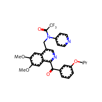 COc1cc2c(CN(C(=O)C(F)(F)F)c3ccncc3)cnc(C(=O)c3cccc(OC(C)C)c3)c2cc1OC